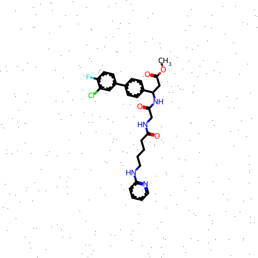 COC(=O)CC(NC(=O)CNC(=O)CCCCNc1ccccn1)c1ccc(-c2ccc(F)c(Cl)c2)cc1